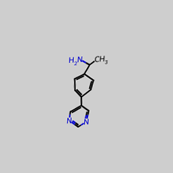 CC(N)c1ccc(-c2cncnc2)cc1